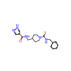 O=C(NCC1CCN(C(=S)NCc2ccccc2)CC1)c1cn[nH]c1